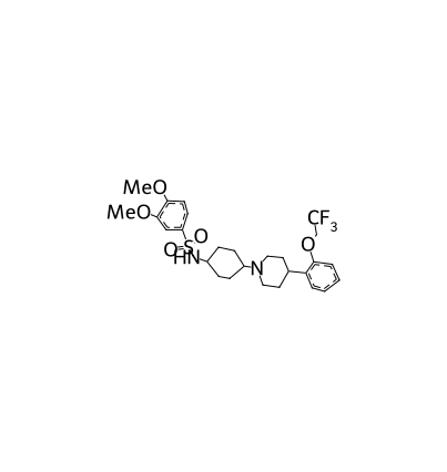 COc1ccc(S(=O)(=O)NC2CCC(N3CCC(c4ccccc4OCC(F)(F)F)CC3)CC2)cc1OC